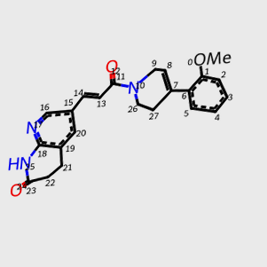 COc1ccccc1C1=CCN(C(=O)C=Cc2cnc3c(c2)CCC(=O)N3)CC1